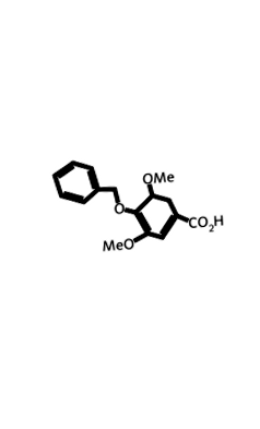 COC1=C(OCc2ccccc2)C(OC)CC(C(=O)O)=C1